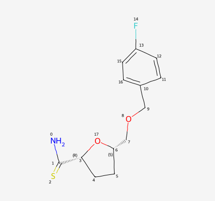 NC(=S)[C@H]1CC[C@@H](COCc2ccc(F)cc2)O1